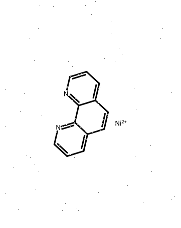 [Ni+2].c1cnc2c(c1)ccc1cccnc12